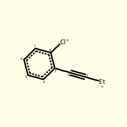 C[CH]C#Cc1ccccc1Cl